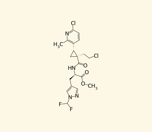 COC(=O)[C@@H](Cc1cnn(C(F)F)c1)NC(=O)[C@@]1(CCCl)C[C@@H]1c1ccc(Cl)nc1C